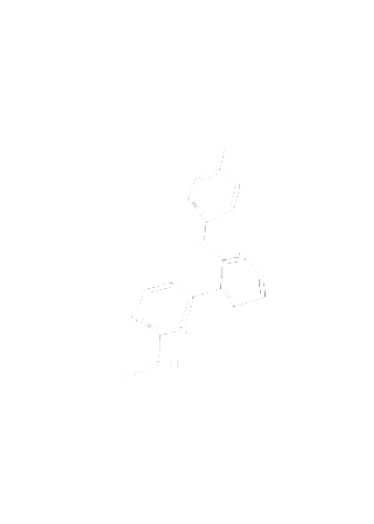 C[AsH]c1nccc(-c2cccnc2Oc2ccc(O)cc2)n1